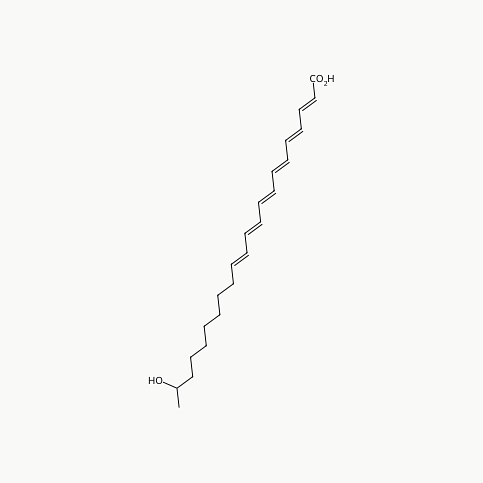 CC(O)CCCCCCCC=CC=CC=CC=CC=CC=CC(=O)O